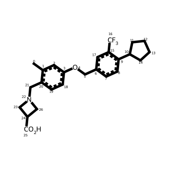 Cc1cc(OCc2ccc(C3CCCC3)c(C(F)(F)F)c2)ccc1CN1CC(C(=O)O)C1